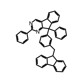 c1ccc(-c2ncc3c(n2)C(c2ccccc2)(c2cccc(CC4c5ccccc5-c5ccccc54)c2)c2ccccc2-3)cc1